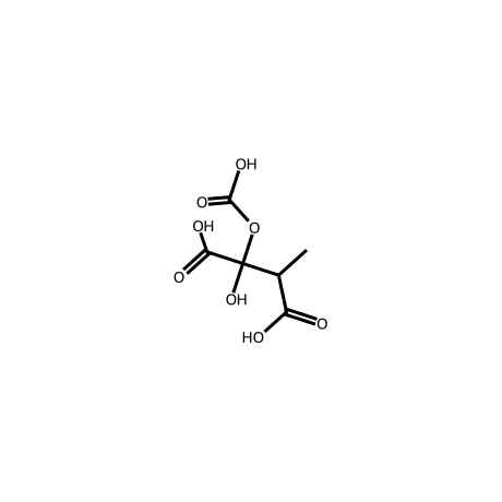 CC(C(=O)O)C(O)(OC(=O)O)C(=O)O